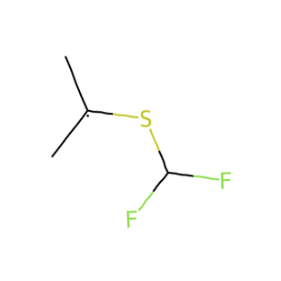 C[C](C)SC(F)F